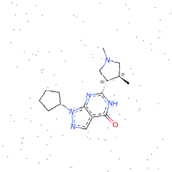 C[C@@H]1CN(C)C[C@H]1c1nc2c(cnn2C2CCCC2)c(=O)[nH]1